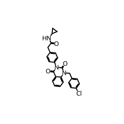 O=C(Cc1ccc(-n2c(=O)c3ccccc3n(Cc3ccc(Cl)cc3)c2=O)cc1)NC1CC1